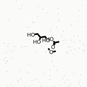 CC(=O)O.COC.OCC(O)CO